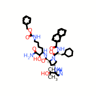 CC(C)(O)c1cnnn1[C@@H]1C[C@@H](C(=O)NC(CCCCNC(=O)OCc2ccccc2)C(O)C(N)=O)N(C(=O)[C@@H](CC2CCCCC2)NC(=O)c2ccc3ccccc3c2)C1